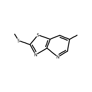 CSc1nc2ncc(C)cc2s1